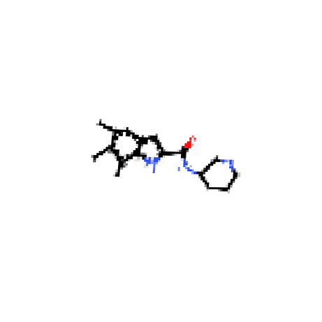 Cc1cc2cc(C(=O)N[C@@H]3CCCNC3)[nH]c2c(C)c1C